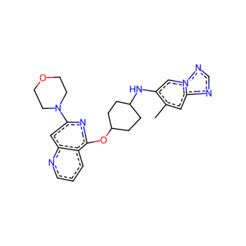 Cc1cc2ncnn2cc1NC1CCC(Oc2nc(N3CCOCC3)cc3ncccc23)CC1